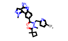 CN(C(=O)C1(C)CCC1)N(Cc1ccc(C(F)(F)F)cn1)C(=O)c1ccc2nc(N)c3cnn(C)c3c2c1